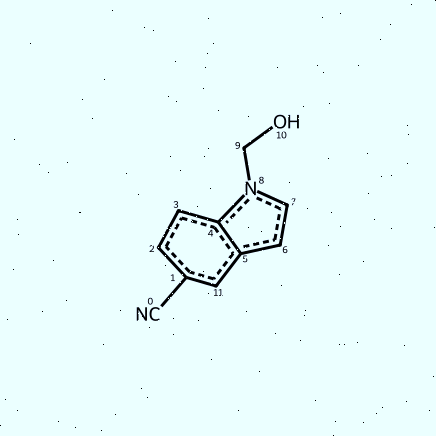 N#Cc1ccc2c(ccn2CO)c1